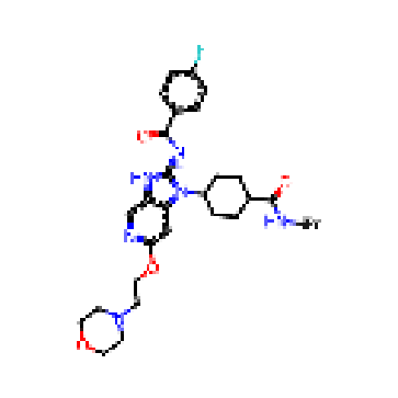 CC(C)NC(=O)C1CCC(n2/c(=N/C(=O)c3ccc(F)cc3)[nH]c3cnc(OCCN4CCOCC4)cc32)CC1